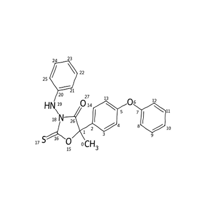 CC1(c2ccc(Oc3ccccc3)cc2)OC(=S)N(Nc2ccccc2)C1=O